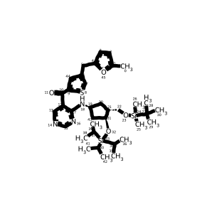 Cc1ccc(Cc2csc(C(=O)c3cncnc3N[C@@H]3C[C@H](CO[Si](C)(C)C(C)(C)C)[C@@H](O[Si](C(C)C)(C(C)C)C(C)C)C3)c2)o1